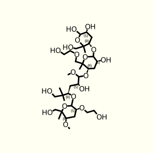 COC(O[C@@H]1C[C@H](O)C(O[C@@H]2C[C@H](O)C(O)OC2(C)CO)OC1(C)COCCO)[C@@H](O)C[C@@H](OC1OC(C)(CO)[C@H](OC)C[C@@H]1OCCO)C(C)(C)CO